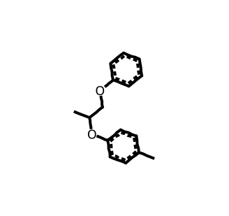 Cc1ccc(OC(C)COc2ccccc2)cc1